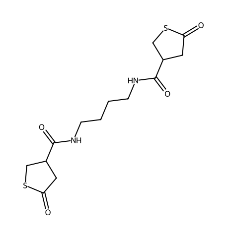 O=C1CC(C(=O)NCCCCNC(=O)C2CSC(=O)C2)CS1